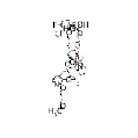 COCCCOc1nccc(CN(C(=O)C2=C(c3ccc(CCCOc4c(F)ccc(F)c4Cl)cc3)CC3CCC2N3C(=O)OCCOCCON(O)O)C2CC2)c1C